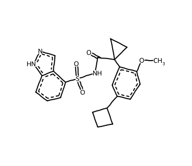 COc1ccc(C2CCC2)cc1C1(C(=O)NS(=O)(=O)c2cccc3[nH]ncc23)CC1